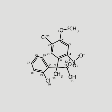 COc1cc([N+](=O)[O-])c(C(C)(C(=O)O)c2ccccc2Cl)cc1Cl